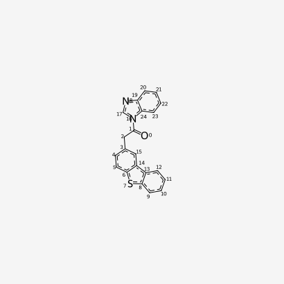 O=C(Cc1ccc2sc3ccccc3c2c1)n1cnc2ccccc21